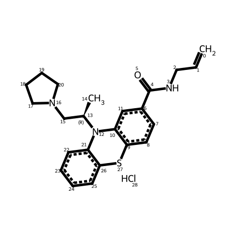 C=CCNC(=O)c1ccc2c(c1)N([C@H](C)CN1CCCC1)c1ccccc1S2.Cl